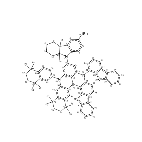 CC(C)(C)c1ccc2c(c1)C1(C)CCCCC1(C)N2c1cc2c3c(c1)N(c1cccc4c1sc1ccccc14)c1ccc4c(sc5ccccc54)c1B3c1cc3c(cc1N2c1ccc2c(c1)C(C)(C)CCC2(C)C)C(C)(C)CCC3(C)C